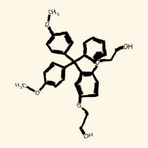 COc1ccc(C(c2ccccc2)(c2ccc(OC)cc2)c2cc(OCCO)ccc2OCCO)cc1